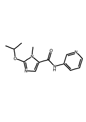 CC(C)Oc1ncc(C(=O)Nc2cccnc2)n1C